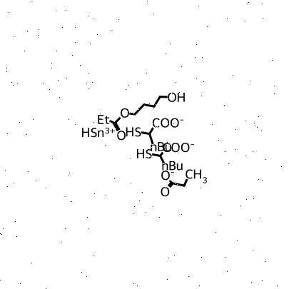 CCC(=O)OCCCCO.CCC(=O)[O-].CCCCC(S)C(=O)[O-].CCCCC(S)C(=O)[O-].[SnH+3]